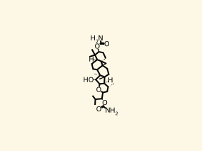 CC(C)[C@@H](OC(N)=O)C1C[C@@H](C)[C@H]2C(O1)[C@H](O)[C@@]1(C)C3CC[C@H]4C(C)(C)[C@@H](OC(N)=O)CC[C@@]45C[C@@]35CC[C@]21C